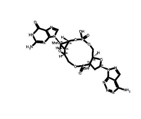 CO[C@H]1[C@H]2OP(=O)(O)OC[C@H]3O[C@@H](n4ncc5c(N)nnnc54)C[C@]3(F)P(=O)(O)OC[C@H]1O[C@H]2n1cnc2c(=O)[nH]c(N)nc21